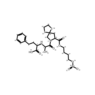 CC(NC(CCc1ccccc1)C(=O)O)C(=O)N1CC2(CC1C(=O)OCCCCO[N+](=O)[O-])SCCS2